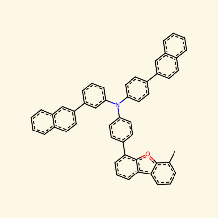 Cc1cccc2c1oc1c(-c3ccc(N(c4ccc(-c5ccc6ccccc6c5)cc4)c4cccc(-c5ccc6ccccc6c5)c4)cc3)cccc12